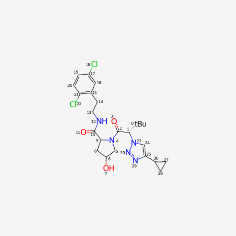 CC(C)(C)[C@@H](C(=O)N1CC(O)CC1C(=O)NCCc1cc(Cl)ccc1Cl)n1cc(C2CC2)nn1